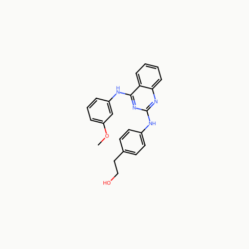 COc1cccc(Nc2nc(Nc3ccc(CCO)cc3)nc3ccccc23)c1